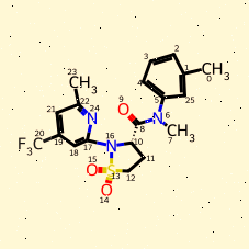 Cc1cccc(N(C)C(=O)[C@@H]2CCS(=O)(=O)N2c2cc(C(F)(F)F)cc(C)n2)c1